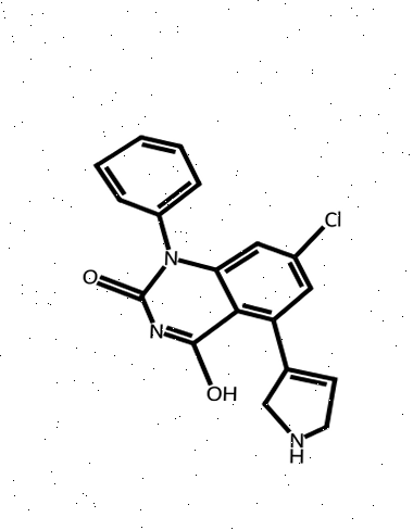 O=c1nc(O)c2c(C3=CCNC3)cc(Cl)cc2n1-c1ccccc1